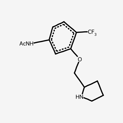 CC(=O)Nc1ccc(C(F)(F)F)c(OCC2CCCN2)c1